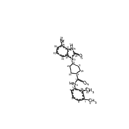 Cc1cccc(NC(=O)C2CCC(n3c(=O)[nH]c4c(Br)cccc43)CC2)c1C